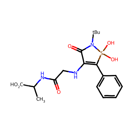 CC(NC(=O)CNC1=C(c2ccccc2)S(O)(O)N(C(C)(C)C)C1=O)C(=O)O